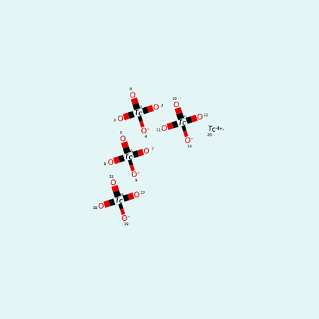 [O]=[Tc](=[O])(=[O])[O-].[O]=[Tc](=[O])(=[O])[O-].[O]=[Tc](=[O])(=[O])[O-].[O]=[Tc](=[O])(=[O])[O-].[Tc+4]